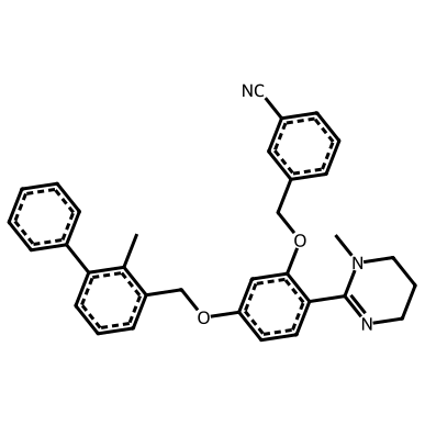 Cc1c(COc2ccc(C3=NCCCN3C)c(OCc3cccc(C#N)c3)c2)cccc1-c1ccccc1